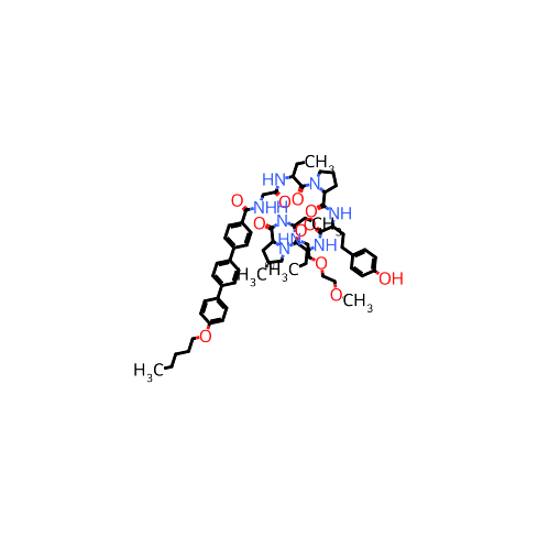 CCCCCOc1ccc(-c2ccc(-c3ccc(C(=O)NCC(=O)NC(CC)C(=O)N4CCCC4C(=O)NC(CCc4ccc(O)cc4)C(=O)NC(CC)C(=O)N4C[C@H](C)CC4C(=O)NC(CC)NCCOCCOC)cc3)cc2)cc1